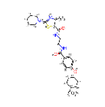 O=C(NCCNC(=O)C1SC(N2CCCCC2)=NC1C(F)(F)F)c1ccc(O[C@H]2CC[C@@H](C(=O)O)CC2)cc1